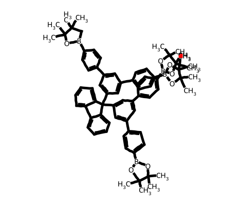 CC1(C)CB(c2ccc(-c3cc(-c4ccc(B5OC(C)(C)C(C)(C)O5)cc4)cc(C4(c5cc(-c6ccc(B7OC(C)(C)C(C)(C)O7)cc6)cc(-c6ccc(B7OC(C)(C)C(C)(C)O7)cc6)c5)c5ccccc5-c5ccccc54)c3)cc2)OC1(C)C